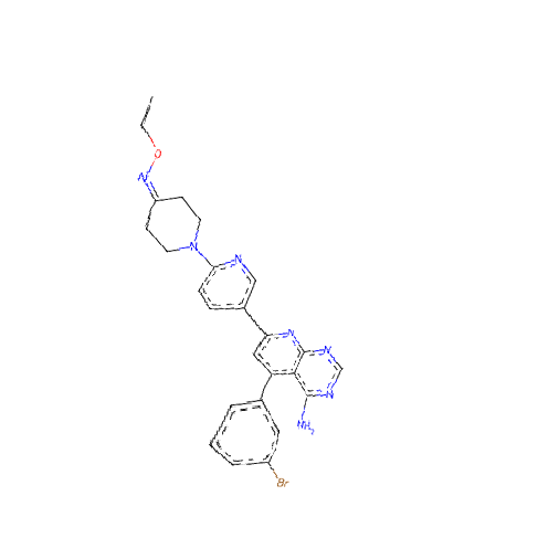 CCON=C1CCN(c2ccc(-c3cc(-c4cccc(Br)c4)c4c(N)ncnc4n3)cn2)CC1